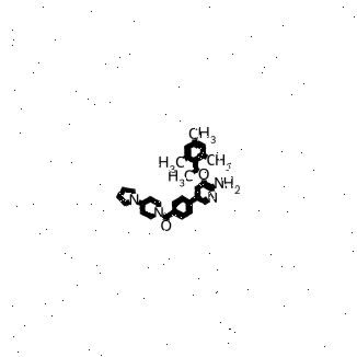 Cc1cc(C)c(C(C)Oc2cc(-c3ccc(C(=O)N4CCC(N5CCCC5)CC4)cc3)cnc2N)c(C)c1